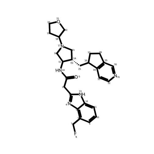 O=C(Cc1nc2c(CF)cccc2[nH]1)NC1CN(C2CCOC2)C[C@@H]1CC1CCc2cnccc21